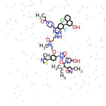 C=CC(=O)N1CCN(c2nc(NCCC(=O)N(C)CCOc3cc(-c4scnc4C)ccc3CNC(=O)[C@@H]3C[C@@H](O)CN3C(=O)[C@H](c3cc(C)no3)C(C)C)nc3c(F)c(-c4cc(O)cc5ccccc45)c(Cl)cc23)CC1